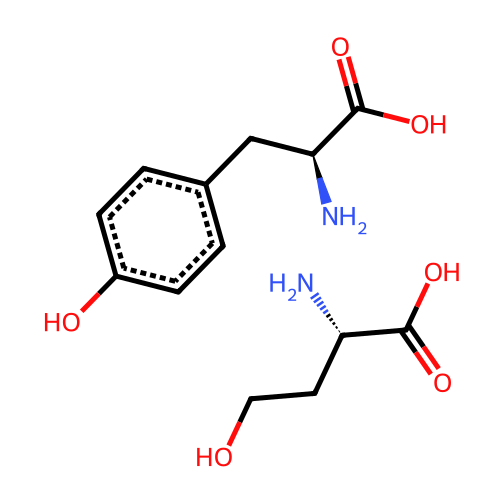 N[C@@H](CCO)C(=O)O.N[C@@H](Cc1ccc(O)cc1)C(=O)O